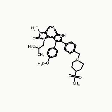 COc1ccc(-c2c(-c3ccc(CN4CCC(S(C)(=O)=O)CC4)cc3)[nH]c3ncc4c(c23)n(CC(C)C)c(=O)n4C)cc1